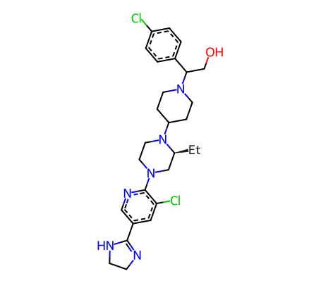 CC[C@H]1CN(c2ncc(C3=NCCN3)cc2Cl)CCN1C1CCN(C(CO)c2ccc(Cl)cc2)CC1